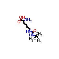 CC(C)(C)NC(=O)NCCCC[C@H](N)C(=O)O